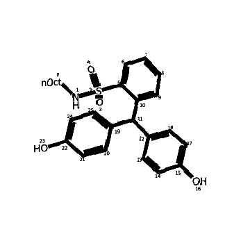 CCCCCCCCNS(=O)(=O)c1ccccc1C(c1ccc(O)cc1)c1ccc(O)cc1